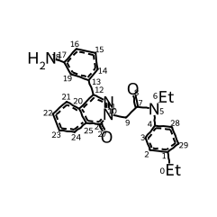 CCc1ccc(N(CC)C(=O)Cn2nc(-c3cccc(N)c3)c3ccccc3c2=O)cc1